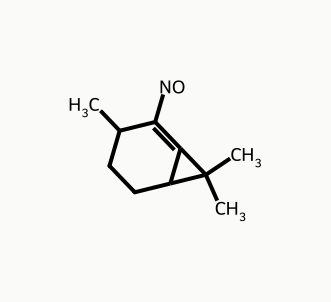 CC1CCC2C(=C1N=O)C2(C)C